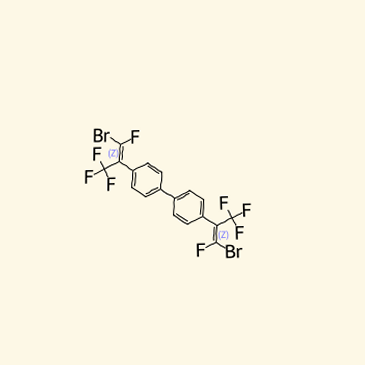 F/C(Br)=C(\c1ccc(-c2ccc(/C(=C(\F)Br)C(F)(F)F)cc2)cc1)C(F)(F)F